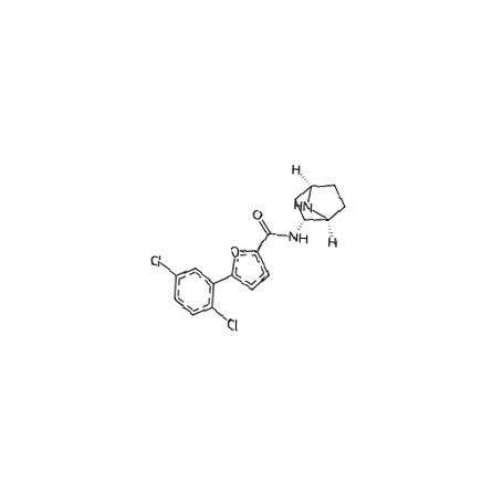 O=C(N[C@@H]1C[C@H]2CC[C@@H]1N2)c1ccc(-c2cc(Cl)ccc2Cl)o1